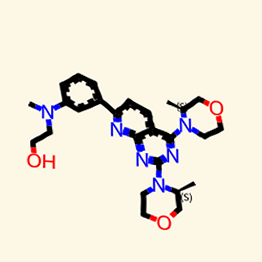 C[C@H]1COCCN1c1nc(N2CCOC[C@@H]2C)c2ccc(-c3cccc(N(C)CCO)c3)nc2n1